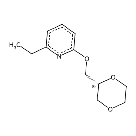 CCc1cccc(OC[C@H]2COCCO2)n1